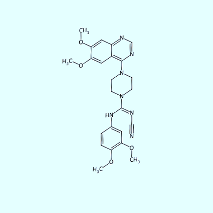 COc1ccc(N/C(=N\C#N)N2CCN(c3ncnc4cc(OC)c(OC)cc34)CC2)cc1OC